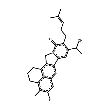 CC(C)=COCc1c(C(C)O)cc2n(c1=O)Cc1c-2nc2cc(F)c(C)c3c2c1CCC3